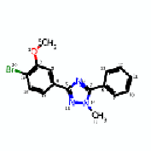 COc1cc(-c2nc(-c3ccccc3)n(C)n2)ccc1Br